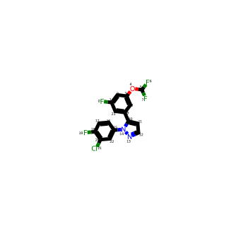 Fc1cc(OC(F)F)cc(-c2ccnn2-c2ccc(F)c(Cl)c2)c1